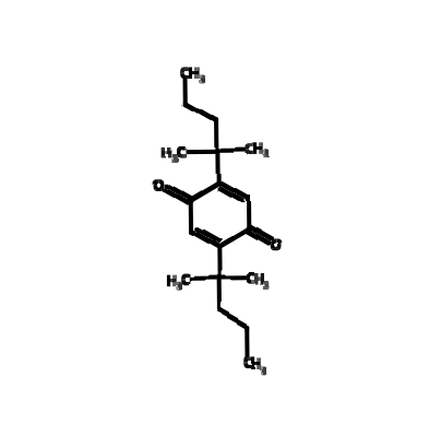 CCCC(C)(C)C1=CC(=O)C(C(C)(C)CCC)=CC1=O